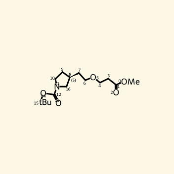 COC(=O)CCOCC[C@@H]1CCN(C(=O)OC(C)(C)C)C1